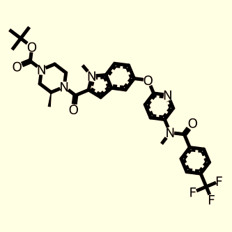 C[C@H]1CN(C(=O)OC(C)(C)C)CCN1C(=O)c1cc2cc(Oc3ccc(N(C)C(=O)c4ccc(C(F)(F)F)cc4)cn3)ccc2n1C